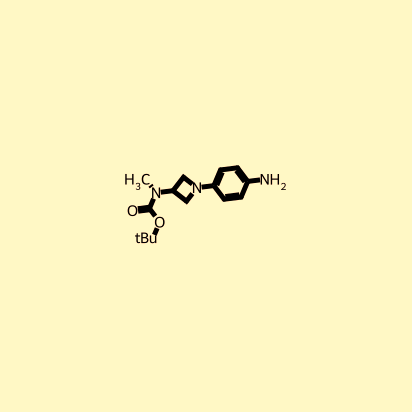 CN(C(=O)OC(C)(C)C)C1CN(c2ccc(N)cc2)C1